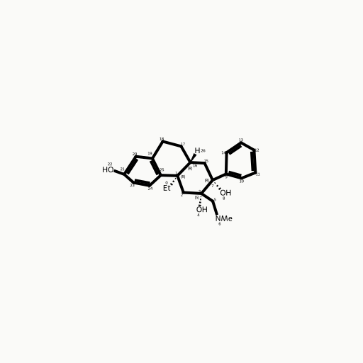 CC[C@@]12C[C@](O)(CNC)[C@](O)(c3ccccc3)C[C@H]1CCc1cc(O)ccc12